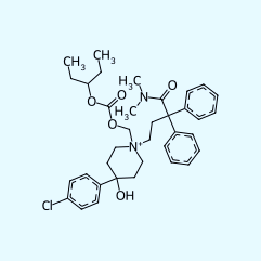 CCC(CC)OC(=O)OC[N+]1(CCC(C(=O)N(C)C)(c2ccccc2)c2ccccc2)CCC(O)(c2ccc(Cl)cc2)CC1